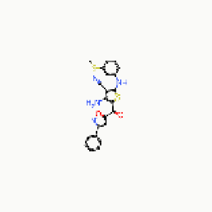 CSc1cccc(Nc2sc(C(=O)c3cc(-c4ccccc4)no3)c(N)c2C#N)c1